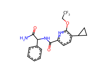 NC(=O)C(NC(=O)c1ccc(C2CC2)c(OCC(F)(F)F)n1)c1ccccc1